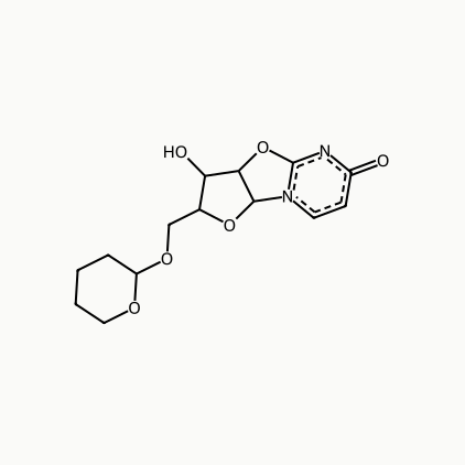 O=c1ccn2c(n1)OC1C(O)C(COC3CCCCO3)OC12